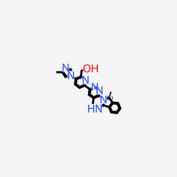 Cc1cn(-c2ccc(-c3cc(C)c(N4C(=N)c5ccccc5[C@@H]4C)nn3)nc2CO)cn1